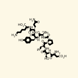 CC[C@H](C)[C@H](NC(=O)[C@@H]1CCCN1C(=O)[C@H](CC(C)C)NC(=O)[C@H](CO)NC(=O)[C@@H](N)CC(=O)O)C(=O)N[C@@H](Cc1ccc(O)cc1)C(=O)N[C@@H](CCC(N)=O)C(=O)N[C@@H](CCCCN)C(=O)O